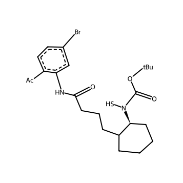 CC(=O)c1ccc(Br)cc1NC(=O)CCCC1CCCC[C@@H]1N(S)C(=O)OC(C)(C)C